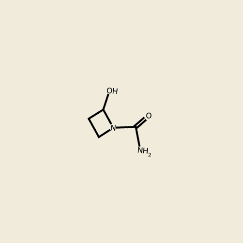 NC(=O)N1CCC1O